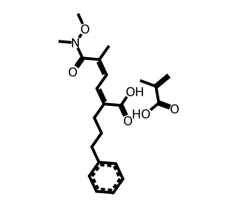 C=C(C)C(=O)O.CON(C)C(=O)C(C)=CC=C(CCCc1ccccc1)C(=O)O